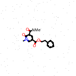 CNC(=O)c1cc(C(=O)OCCc2ccccc2)cn(C)c1=O